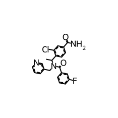 CC(c1ccc(C(N)=O)cc1Cl)N(Cc1cccnc1)C(=O)c1cccc(F)c1